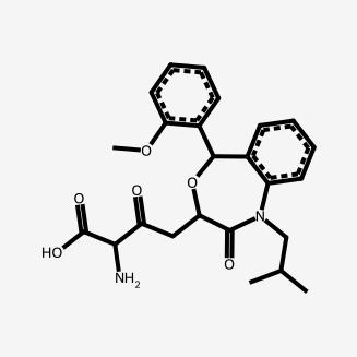 COc1ccccc1C1OC(CC(=O)C(N)C(=O)O)C(=O)N(CC(C)C)c2ccccc21